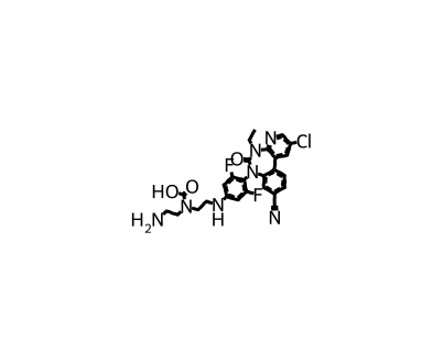 CCN1C(=O)N(c2c(F)cc(NCCN(CCN)C(=O)O)cc2F)c2cc(C#N)ccc2-c2cc(Cl)cnc21